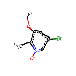 CCOc1cc(Br)c[n+]([O-])c1C